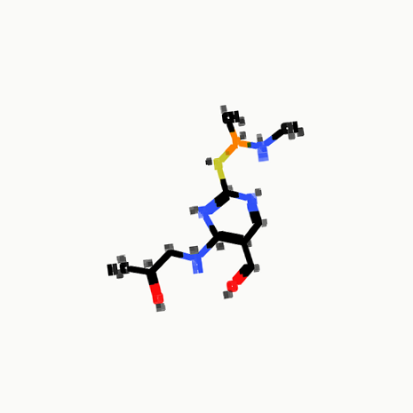 CNP(C)Sc1ncc(C=O)c(NCC(C)=O)n1